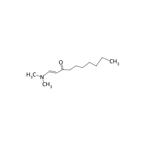 CCCCCCCC(=O)/C=C/N(C)C